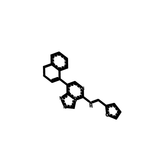 C1=C(c2cnc(NCc3ccco3)n3cnnc23)c2ccccc2CC1